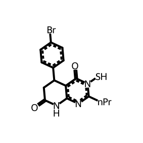 CCCc1nc2c(c(=O)n1S)C(c1ccc(Br)cc1)CC(=O)N2